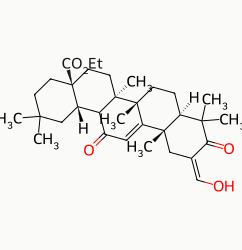 CCOC(=O)[C@]12CCC(C)(C)C[C@H]1C1C(=O)C=C3[C@@]4(C)C/C(=C/O)C(=O)C(C)(C)[C@@H]4CC[C@@]3(C)[C@]1(C)CC2